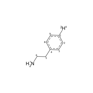 [2H]c1ccc(CCN)cc1